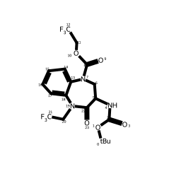 CC(C)(C)OC(=O)NC1CN(C(=O)OCC(F)(F)F)c2ccccc2N(CC(F)(F)F)C1=O